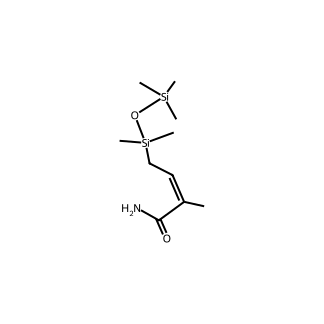 CC(=CC[Si](C)(C)O[Si](C)(C)C)C(N)=O